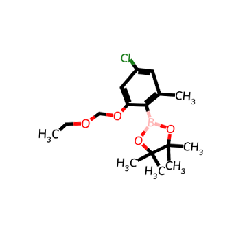 CCOCOc1cc(Cl)cc(C)c1B1OC(C)(C)C(C)(C)O1